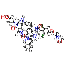 Cc1c(N(C(=O)c2cc(-c3cc4c(cc3C(=O)N3Cc5ccccc5C[C@H]3CN3CCCC3)CN(C(=O)Cc3c(F)cc(OCCN5CCOCC5)cc3F)CC4)n(C)c2C)c2ccc(O)cc2)cc(C#N)n1C